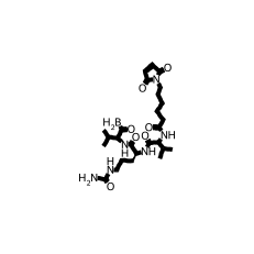 BC(=O)C(NC(=O)[C@H](CCCNC(N)=O)NC(=O)C(NC(=O)CCCCCN1C(=O)C=CC1=O)C(C)C)C(C)C